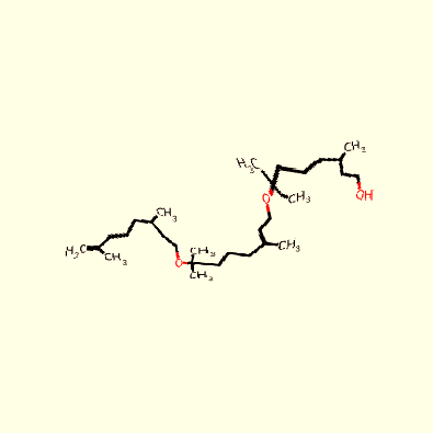 C=C(C)CCCC(C)CCOC(C)(C)CCCC(C)CCOC(C)(C)CCCC(C)CCO